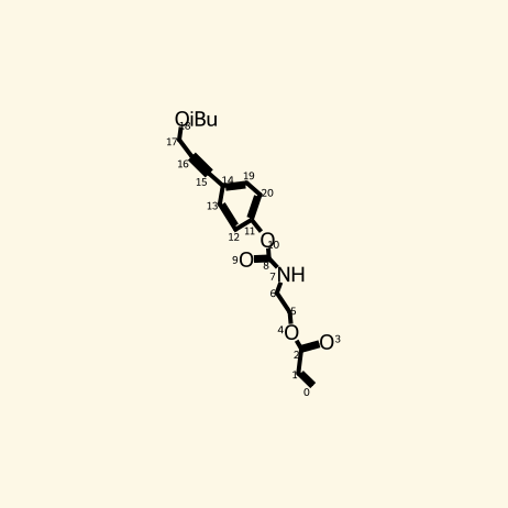 C=CC(=O)OCCNC(=O)Oc1ccc(C#CCOCC(C)C)cc1